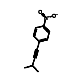 CC(C)C#Cc1ccc([N+](=O)[O-])cc1